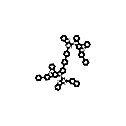 c1ccc(-c2ccc3c4cc5c(c6ccccc6n5-c5nc(-c6ccc(-c7ccc(-c8ccc9c(c8)c8c%10c%11ccccc%11n%11c%12cc(-c%13ccccc%13)ccc%12c(cc8n9-c8nc(-c9ccc%12ccccc%12c9)nc9c8oc8ccccc89)c%10%11)cc7)cc6)nc6c5oc5ccccc56)c5c6ccccc6n(c3c2)c45)cc1